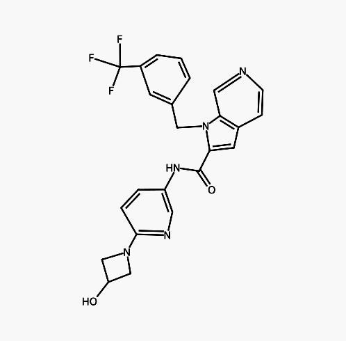 O=C(Nc1ccc(N2CC(O)C2)nc1)c1cc2ccncc2n1Cc1cccc(C(F)(F)F)c1